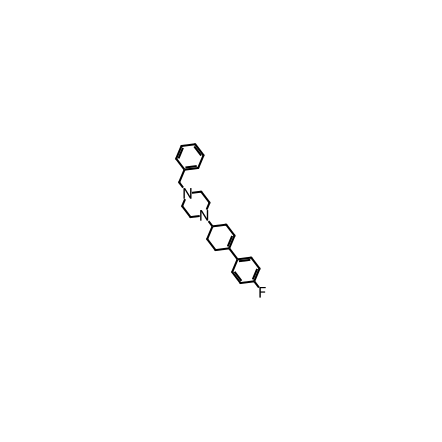 Fc1ccc(C2=CCC(N3CCN(Cc4ccccc4)CC3)CC2)cc1